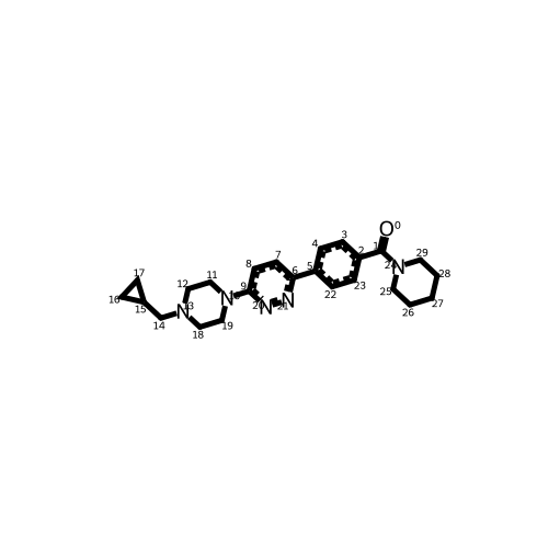 O=C(c1ccc(-c2ccc(N3CCN(CC4CC4)CC3)nn2)cc1)N1CCCCC1